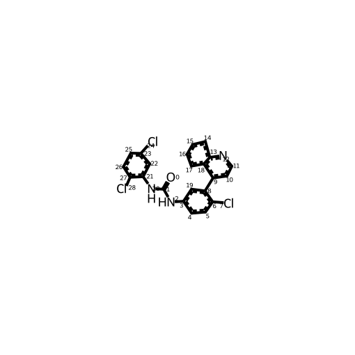 O=C(Nc1ccc(Cl)c(-c2ccnc3ccccc23)c1)Nc1cc(Cl)ccc1Cl